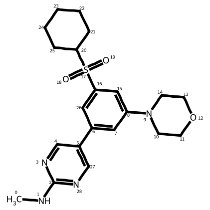 CNc1ncc(-c2cc(N3CCOCC3)cc(S(=O)(=O)C3CCCCC3)c2)cn1